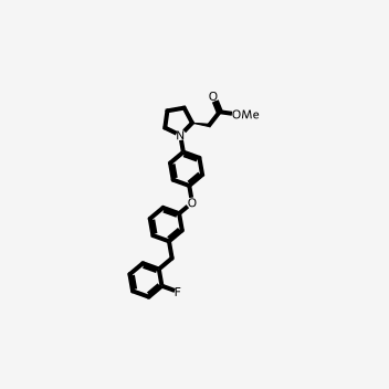 COC(=O)C[C@@H]1CCCN1c1ccc(Oc2cccc(Cc3ccccc3F)c2)cc1